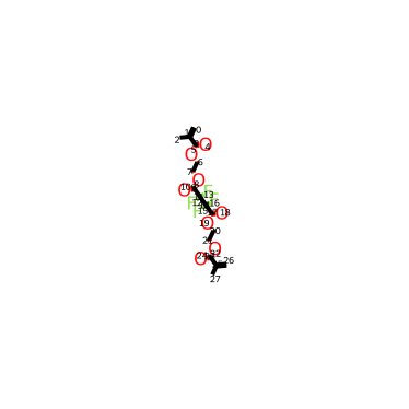 C=C(C)C(=O)OCCOC(=O)C(F)(F)C(F)(F)C(=O)OCCOC(=O)C(=C)C